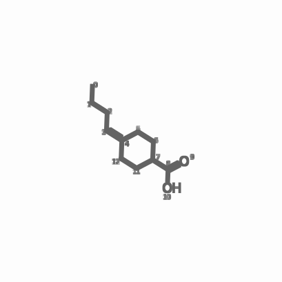 CCCC=C1CCC(C(=O)O)CC1